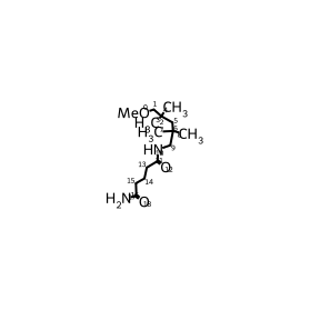 COCC(C)(C)CC(C)(C)CNC(=O)CCCC(N)=O